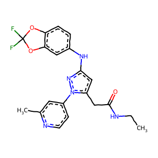 CCNC(=O)Cc1cc(Nc2ccc3c(c2)OC(F)(F)O3)nn1-c1ccnc(C)c1